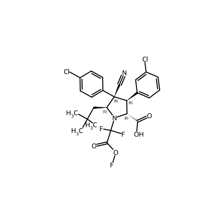 CC(C)(C)C[C@@H]1N(C(F)(F)C(=O)OF)[C@@H](C(=O)O)[C@H](c2cccc(Cl)c2)[C@@]1(C#N)c1ccc(Cl)cc1